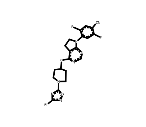 CC(C)c1noc(N2CCC(Oc3ncnc4c3CCN4c3cc(F)c(C#N)cc3F)CC2)n1